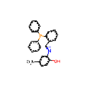 O=[N+]([O-])c1ccc(O)c(/N=C/c2ccccc2P(c2ccccc2)c2ccccc2)c1